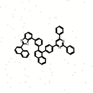 c1ccc(-c2cc(-c3ccc(-c4c(-c5cccc(-c6cccc7nc(-c8cccc9ccccc89)oc67)c5)ccc5ccccc45)cc3)nc(-c3ccccc3)n2)cc1